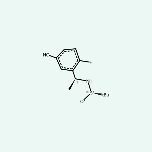 C[C@H](N[S@+]([O-])C(C)(C)C)c1cc(C#N)ccc1F